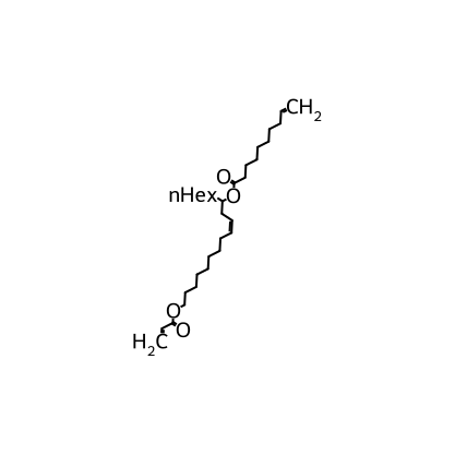 C=CCCCCCCCC(=O)OC(C/C=C\CCCCCCCCOC(=O)C=C)CCCCCC